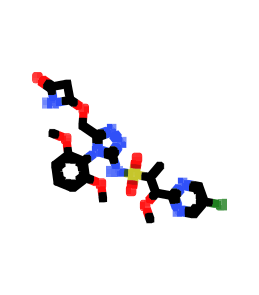 COc1cccc(OC)c1-n1c(COC2CC(=O)N2)nnc1NS(=O)(=O)C(C)C(OC)c1ncc(Cl)cn1